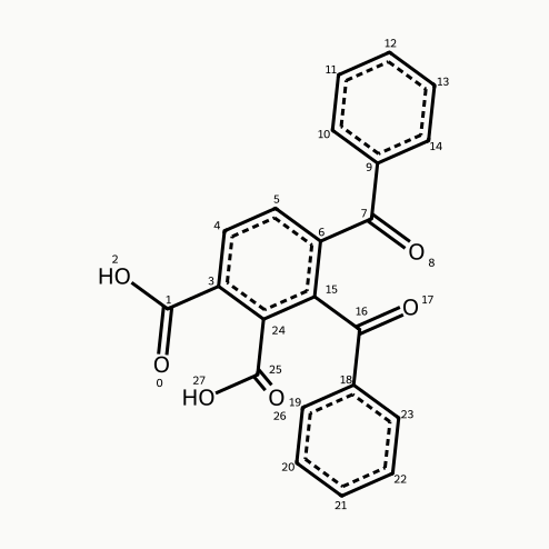 O=C(O)c1ccc(C(=O)c2ccccc2)c(C(=O)c2ccccc2)c1C(=O)O